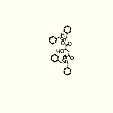 O=C(CC(O)C(=O)[O][SnH]([CH2]c1ccccc1)[CH2]c1ccccc1)[O][SnH]([CH2]c1ccccc1)[CH2]c1ccccc1